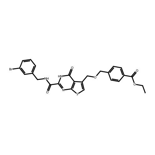 CCOC(=O)c1ccc(COCc2csc3nc(C(=O)NCc4cccc(Br)c4)[nH]c(=O)c23)cc1